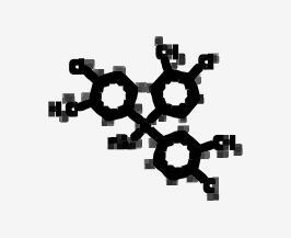 CCCC[B-](c1ccc(Cl)c(C)c1)(c1ccc(Cl)c(C)c1)c1ccc(Cl)c(C)c1